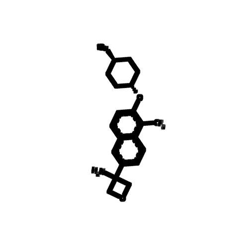 CC(C)(C)[C@H]1CC[C@H](Oc2ccc3cc(C4(N)COC4)ccc3c2C(F)(F)F)CC1